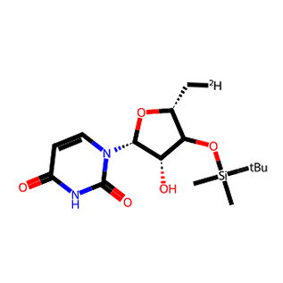 [2H]C[C@H]1O[C@@H](n2ccc(=O)[nH]c2=O)[C@@H](O)C1O[Si](C)(C)C(C)(C)C